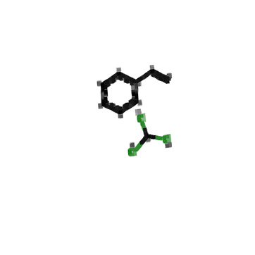 C=Cc1ccccc1.ClC(Cl)Cl